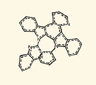 c1ccc(-n2c3ccccc3c3c4ncccc4c4c5ccccc5n(-c5cnc6ccccc6n5)c4c32)cc1